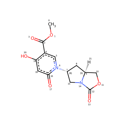 COC(=O)c1cn([C@@H]2C[C@H]3COC(=O)N3C2)c(=O)cc1O